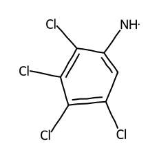 [NH]c1cc(Cl)c(Cl)c(Cl)c1Cl